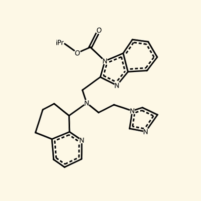 CC(C)OC(=O)n1c(CN(CCn2ccnc2)C2CCCc3cccnc32)nc2ccccc21